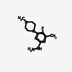 Cc1nc(NN)nc(N2CCN(C)CC2)c1F